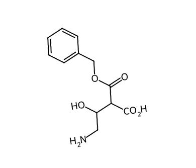 NCC(O)C(C(=O)O)C(=O)OCc1ccccc1